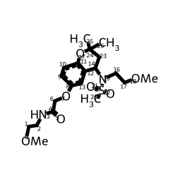 COCCNC(=O)COc1ccc2c(c1)C(N(CCOC)S(C)(=O)=O)CC(C)(C)O2